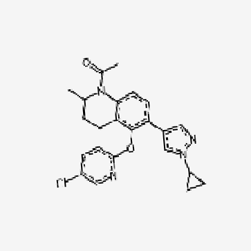 CC(=O)N1c2ccc(-c3cnn(C4CC4)c3)c(Oc3ccc(Cl)cn3)c2CCC1C